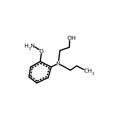 CCCN(CCO)c1ccccc1ON